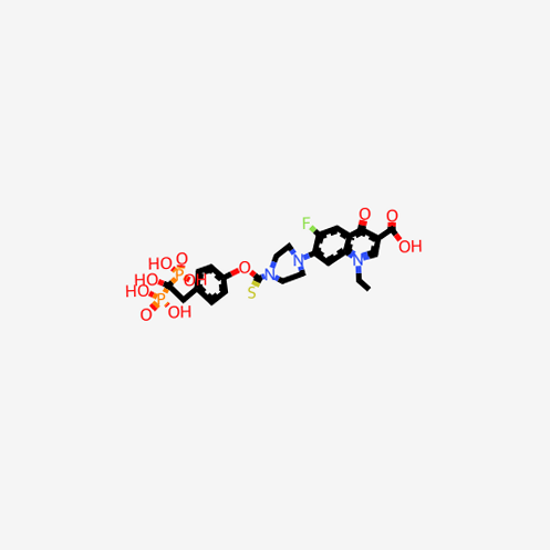 CCn1cc(C(=O)O)c(=O)c2cc(F)c(N3CCN(C(=S)Oc4ccc(CC(O)(P(=O)(O)O)P(=O)(O)O)cc4)CC3)cc21